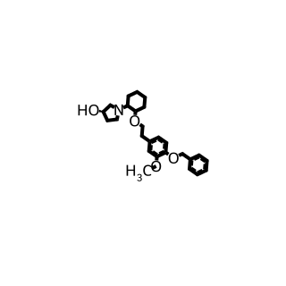 COc1cc(CCOC2CCCCC2N2CC[C@@H](O)C2)ccc1OCc1ccccc1